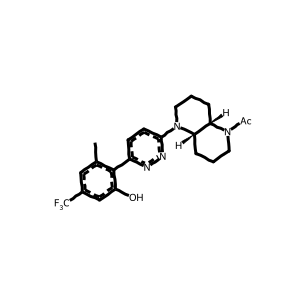 CC(=O)N1CCC[C@H]2[C@@H]1CCCN2c1ccc(-c2c(C)cc(C(F)(F)F)cc2O)nn1